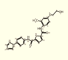 Cc1cc(OCCO)ccc1NC(=O)c1ccc(C(=O)Nc2ccc(-n3cncn3)cc2)s1